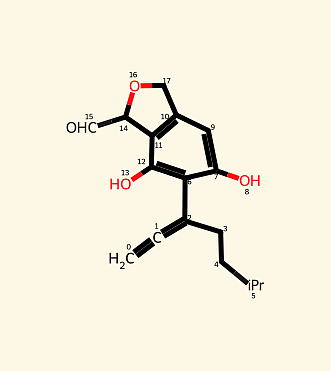 C=C=C(CCC(C)C)c1c(O)cc2c(c1O)C(C=O)OC2